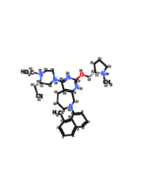 Cc1cccc2cccc(N3CCCc4c(nc(OC[C@@H]5CCCN5C)nc4N4CCN(C(=O)O)[C@@H](CC#N)C4)C3)c12